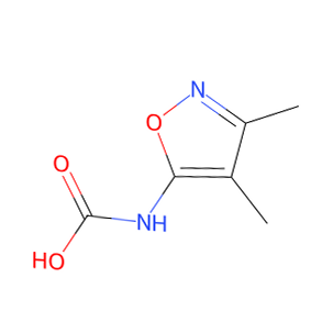 Cc1noc(NC(=O)O)c1C